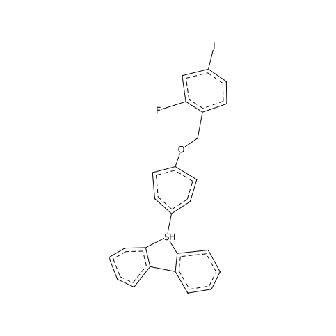 Fc1cc(I)ccc1COc1ccc([SH]2c3ccccc3-c3ccccc32)cc1